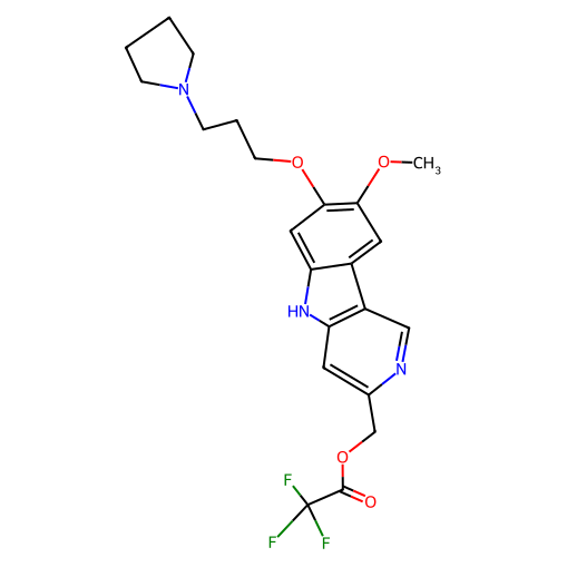 COc1cc2c(cc1OCCCN1CCCC1)[nH]c1cc(COC(=O)C(F)(F)F)ncc12